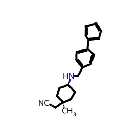 C[C@]1(CC#N)CC[C@@H](NCc2ccc(-c3ccccc3)cc2)CC1